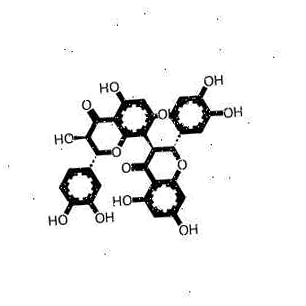 O=C1c2c(O)cc(O)c([C@@H]3C(=O)c4c(O)cc(O)cc4O[C@H]3c3ccc(O)c(O)c3)c2O[C@H](c2ccc(O)c(O)c2)[C@H]1O